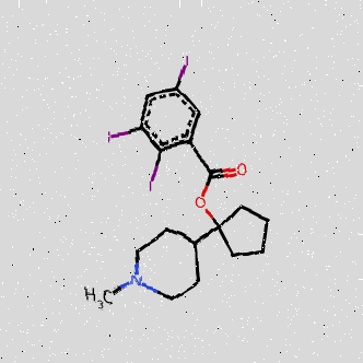 CN1CCC(C2(OC(=O)c3cc(I)cc(I)c3I)CCCC2)CC1